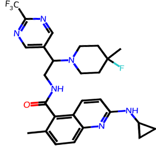 Cc1ccc2nc(NC3CC3)ccc2c1C(=O)NCC(c1cnc(C(F)(F)F)nc1)N1CCC(C)(F)CC1